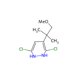 COCC(C)(C)C1=C(Cl)NNC(Cl)=C1